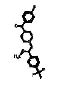 COC(CN1CCC(C(=O)c2ccc(F)cc2)CC1)c1ccc(C(F)(F)F)cc1